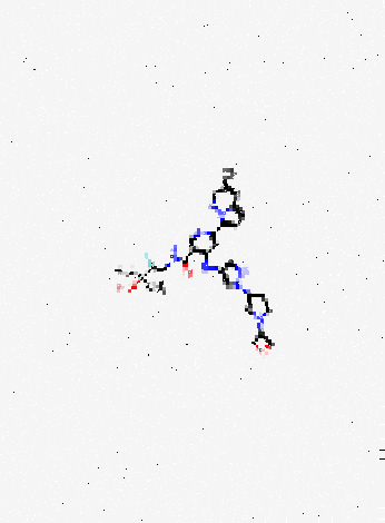 CC(C)(O)C(F)CNC(=O)c1cnc(-c2ccc3cc(C#N)cnn23)cc1Nc1cnn(C2CCN(C3COC3)C2)c1